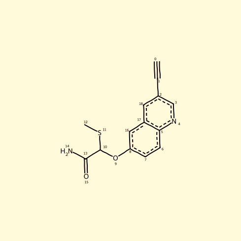 C#Cc1cnc2ccc(OC(SC)C(N)=O)cc2c1